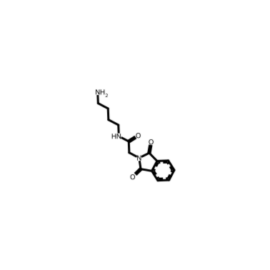 NCCCCNC(=O)CN1C(=O)c2ccccc2C1=O